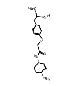 COC(Cc1ccc(OCC(=O)N[C@H]2CC[C@H](C(C)(C)C)CC2)cc1)C(=O)O